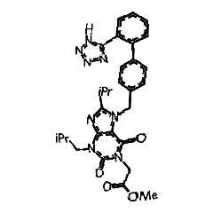 COC(=O)Cn1c(=O)c2c(nc(C(C)C)n2Cc2ccc(-c3ccccc3-c3nnn[nH]3)cc2)n(CC(C)C)c1=O